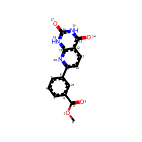 COC(=O)c1cccc(-c2ccc3c(=O)[nH]c(=O)[nH]c3n2)c1